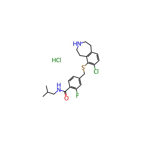 CC(C)CNC(=O)c1ccc(CSc2c(Cl)ccc3c2CCNCC3)cc1F.Cl